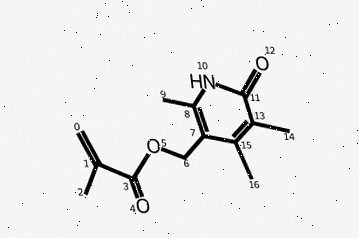 C=C(C)C(=O)OCc1c(C)[nH]c(=O)c(C)c1C